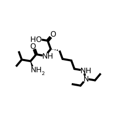 CCN(CC)NCCCC[C@H](NC(=O)[C@@H](N)C(C)C)C(=O)O